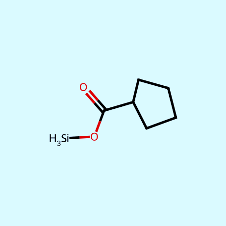 O=C(O[SiH3])C1CCCC1